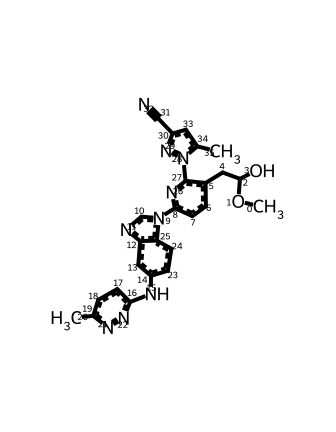 COC(O)Cc1ccc(-n2cnc3cc(Nc4ccc(C)nn4)ccc32)nc1-n1nc(C#N)cc1C